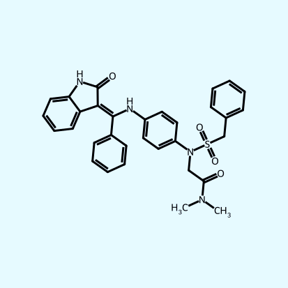 CN(C)C(=O)CN(c1ccc(N/C(=C2\C(=O)Nc3ccccc32)c2ccccc2)cc1)S(=O)(=O)Cc1ccccc1